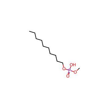 CCCCCCCCCCOP(=O)(O)OC